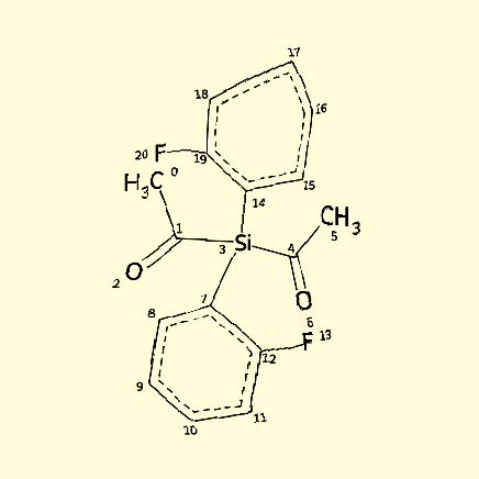 CC(=O)[Si](C(C)=O)(c1ccccc1F)c1ccccc1F